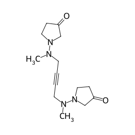 CN(CC#CCN(C)N1CCC(=O)C1)N1CCC(=O)C1